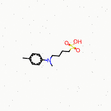 Cc1ccc(N(C)CCCCS(=O)(=O)O)cc1